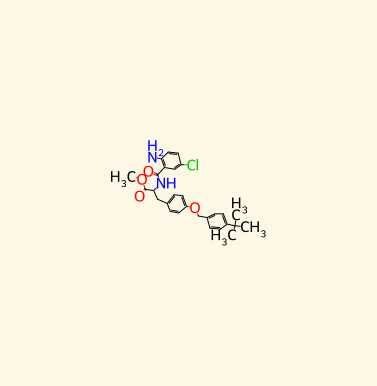 COC(=O)C(Cc1ccc(OCc2ccc(C(C)(C)C)cc2)cc1)NC(=O)c1cc(Cl)ccc1N